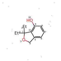 CCC1(CC)OCc2cccc(O)c21